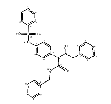 NC(Cc1ccccc1)C(C(=O)OCc1ccccc1)c1ccc(OS(=O)(=O)c2ccccc2)cc1